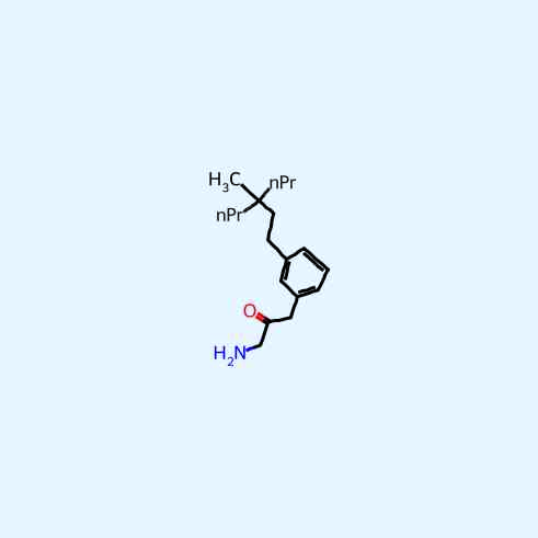 CCCC(C)(CCC)CCc1cccc(CC(=O)CN)c1